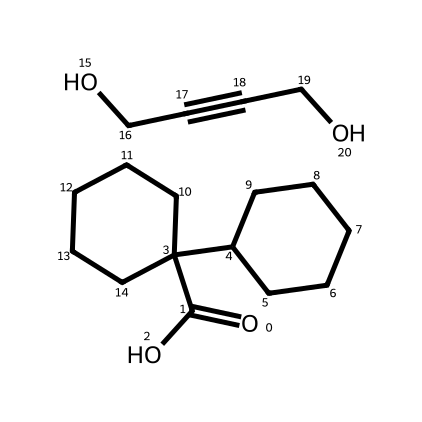 O=C(O)C1(C2CCCCC2)CCCCC1.OCC#CCO